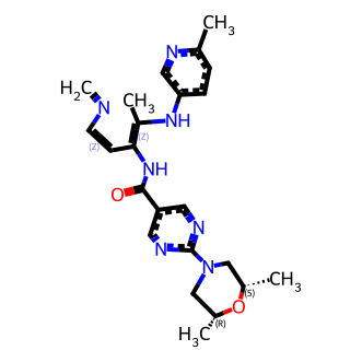 C=N/C=C\C(NC(=O)c1cnc(N2C[C@@H](C)O[C@@H](C)C2)nc1)=C(/C)Nc1ccc(C)nc1